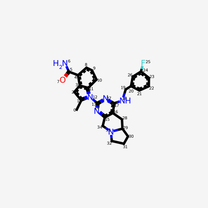 Cc1cc2c(C(N)=O)cccc2n1-c1nc2c(c(NCc3cccc(F)c3)n1)CC1CCCN1C2